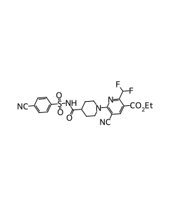 CCOC(=O)c1cc(C#N)c(N2CCC(C(=O)NS(=O)(=O)c3ccc(C#N)cc3)CC2)nc1C(F)F